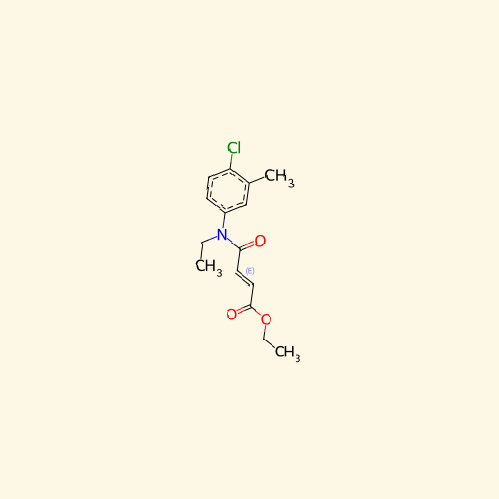 CCOC(=O)/C=C/C(=O)N(CC)c1ccc(Cl)c(C)c1